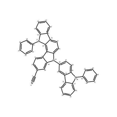 N#Cc1ccc2c3c(ccc4c5ccccc5n(-c5ccccc5)c43)n(-c3ccc4c(c3)c3ccccc3n4-c3ccccc3)c2c1